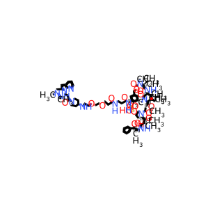 CC[C@H](C)[C@@H]([C@@H](CC(=O)N1CCC[C@H]1[C@H](OC)[C@@H](C)C(=O)N[C@H](C)[C@@H](O)c1ccccc1)OC)N(C)C(=O)[C@@H](NC(=O)[C@H](C(C)C)N(C)C(=O)OCc1ccc(OS(=O)(=O)O)c(NC(=O)CCNC(=O)CCOCCOCCNC2CCN(C(=O)CCn3c(CN(C)NC)cc4cccnc43)CC2)c1)C(C)C